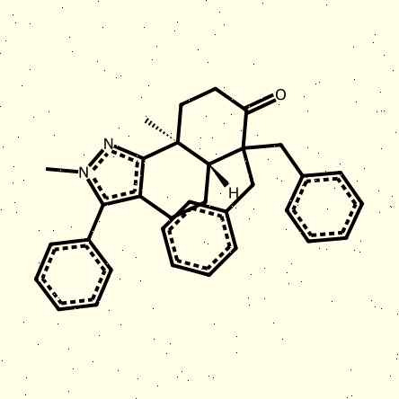 Cn1nc2c(c1-c1ccccc1)CC[C@H]1C(Cc3ccccc3)(Cc3ccccc3)C(=O)CC[C@]21C